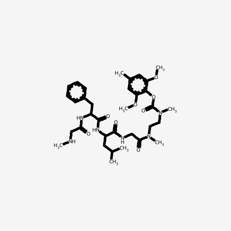 CNCC(=O)NC(Cc1ccccc1)C(=O)NC(CC(C)C)C(=O)NCC(=O)N(C)CCN(C)C(=O)Oc1c(OC)cc(C)cc1OC